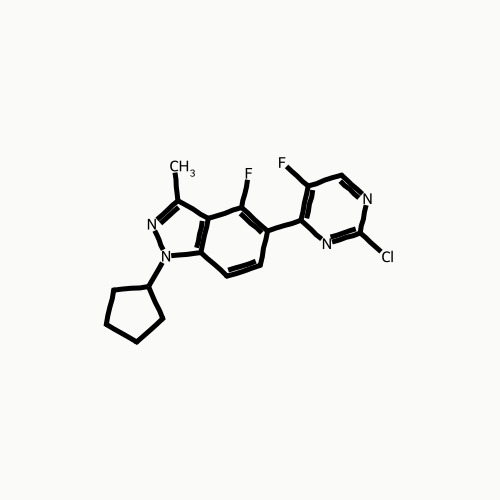 Cc1nn(C2CCCC2)c2ccc(-c3nc(Cl)ncc3F)c(F)c12